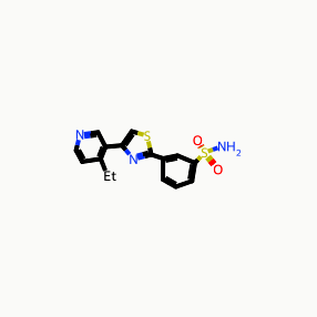 CCc1ccncc1-c1csc(-c2cccc(S(N)(=O)=O)c2)n1